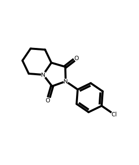 O=C1C2CCCCN2C(=O)N1c1ccc(Cl)cc1